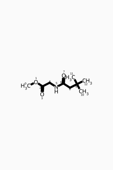 COC(=O)CNC(=O)CC(C)(C)C